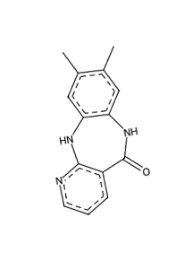 Cc1cc2c(cc1C)Nc1ncccc1C(=O)N2